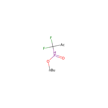 CCCCO[PH](=O)C(F)(F)C(C)=O